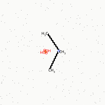 CCCCCCCCCCCCCCCCN(C)CCCCCCCCCCCCCCCC.O=S(=O)(O)O